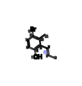 C/C=C/c1c(O)ccc(Br)c1C